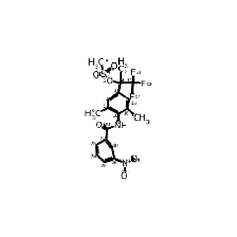 Cc1cc(C(C)(OS(C)(=O)=O)C(F)(F)F)cc(C)c1NC(=O)c1cccc([N+](=O)[O-])c1